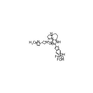 Cn1ccc(C2CN(C(=O)[C@@H]3CC[C@@H]4CCCC[C@H](NC(=O)c5cc6cc(C(F)(F)P(=O)(O)O)ccc6s5)C(=O)N43)C2)n1